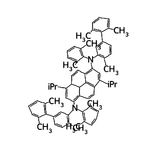 Cc1ccc(-c2c(C)cccc2C)cc1N(C1=C2C=Cc3c(C(C)C)cc(N(c4cc(-c5c(C)cccc5C)ccc4C)c4c(C)cccc4C)c4c3C2C(C=C4)C(C(C)C)=C1)c1c(C)cccc1C